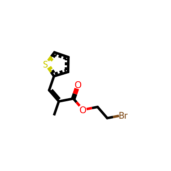 C/C(=C/c1cccs1)C(=O)OCCBr